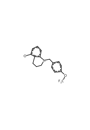 [O]c1cccc2c1CCCN2Cc1ccc(OC(F)(F)F)cc1